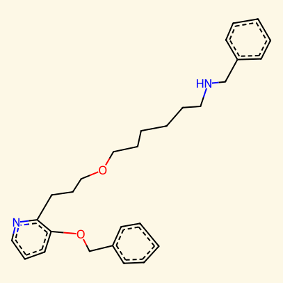 c1ccc(CNCCCCCCOCCCc2ncccc2OCc2ccccc2)cc1